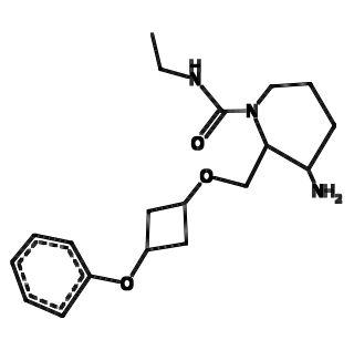 CCNC(=O)N1CCCC(N)C1COC1CC(Oc2ccccc2)C1